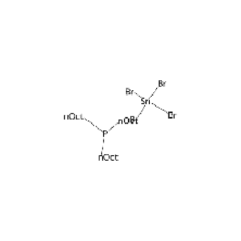 CCCCCCCCP(CCCCCCCC)CCCCCCCC.[Br][Sn]([Br])([Br])[Br]